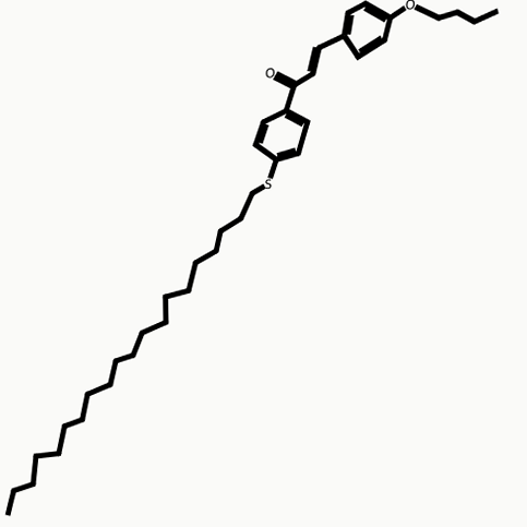 CCCCCCCCCCCCCCCCCCCCSc1ccc(C(=O)/C=C/c2ccc(OCCCC)cc2)cc1